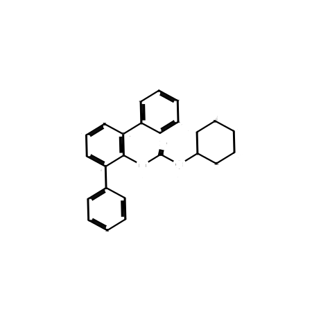 O=C(Oc1c(-c2ccccc2)cccc1-c1ccccc1)OC1CCCCC1